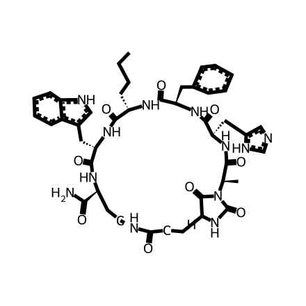 CCCC[C@@H]1NC(=O)[C@@H](Cc2ccccc2)NC(=O)[C@H](Cc2cnc[nH]2)NC(=O)[C@@H](C)N2C(=O)N[C@@H](CCC(=O)NCC[C@@H](C(N)=O)NC(=O)[C@H](Cc3c[nH]c4ccccc34)NC1=O)C2=O